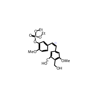 CCOP(=O)(OCC)Oc1cc(/C=C\c2cc(CO)c(CO)c(OC)c2)ccc1OC